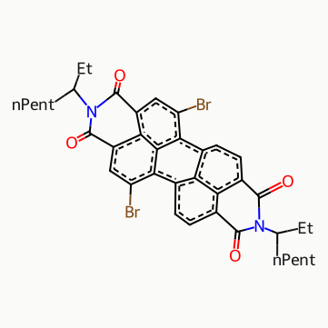 CCCCCC(CC)N1C(=O)c2ccc3c4c(Br)cc5c6c(cc(Br)c(c7ccc(c2c37)C1=O)c64)C(=O)N(C(CC)CCCCC)C5=O